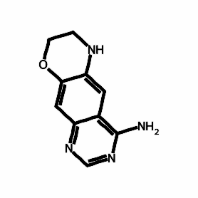 Nc1ncnc2cc3c(cc12)NCCO3